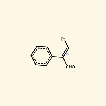 CC/C=C(/C=O)c1ccccc1